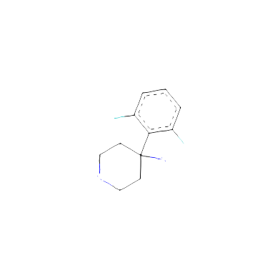 NC1(c2c(F)cccc2F)CCNCC1